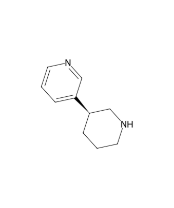 c1cncc([C@@H]2CCCNC2)c1